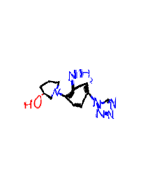 Nc1cc(-n2cnnn2)ccc1N1CCC[C@H](O)C1